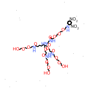 O=C(CCCCC(COCCC(=O)NCCOCCOCCO)(COCCC(=O)NCCOCCOCCO)NC(=O)CNC(=O)COCCOCCOCCNc1ccc([N+](=O)[O-])cc1[N+](=O)[O-])NCCOCCOCCO